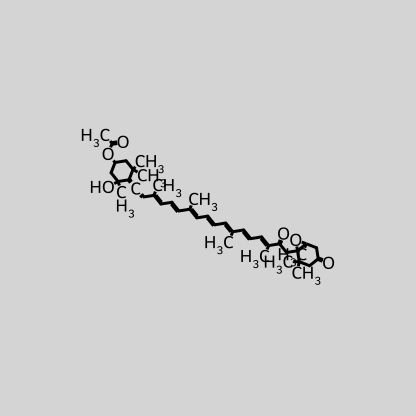 CC(=O)OC1CC(C)(C)C(=C=C/C(C)=C/C=C/C(C)=C/C=C/C=C(C)/C=C/C=C(\C)C(=O)CC23OC2(C)CC(=O)CC3(C)C)C(C)(O)C1